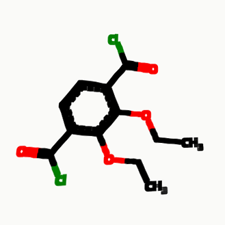 CCOc1c(C(=O)Cl)ccc(C(=O)Cl)c1OCC